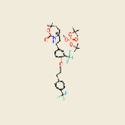 CC(C)(C)OP(=O)(OC[C@@]1(CCc2ccc(OCCCc3ccc(C(F)(F)F)cc3)c(C(F)(F)F)c2)CCC(C)(C)OC(=O)N1)OC(C)(C)C